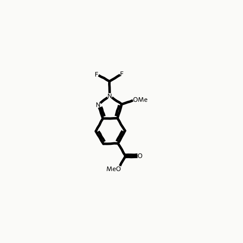 COC(=O)c1ccc2nn(C(F)F)c(OC)c2c1